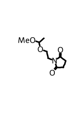 COC(C)OCCN1C(=O)CCC1=O